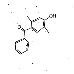 Cc1cc(C(=O)c2ccccc2)c(C)cc1O